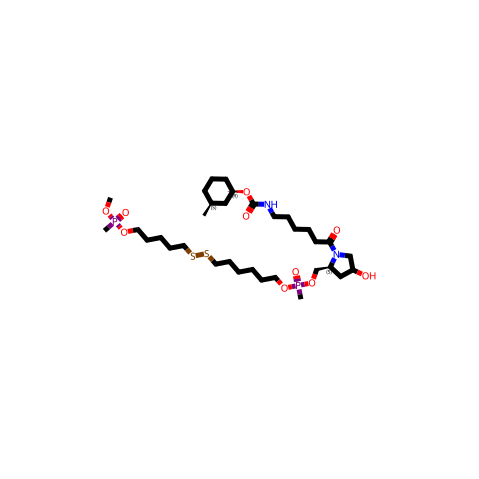 COP(C)(=O)OCCCCCSSCCCCCCOP(C)(=O)OC[C@@H]1CC(O)CN1C(=O)CCCCCNC(=O)O[C@@H]1CCC[C@H](C)C1